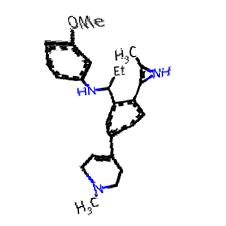 CCC(Nc1cccc(OC)c1)c1cc(C2=CCN(C)CC2)ccc1C1=C(C)N1